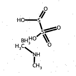 B.CNC.O=S(O)S(=O)(=O)O